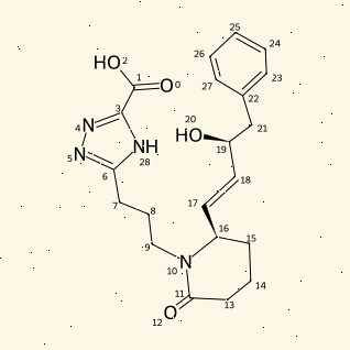 O=C(O)c1nnc(CCCN2C(=O)CCC[C@@H]2/C=C/[C@@H](O)Cc2ccccc2)[nH]1